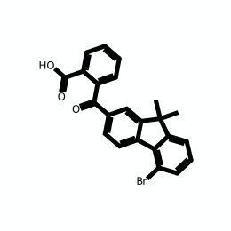 CC1(C)c2cc(C(=O)c3ccccc3C(=O)O)ccc2-c2c(Br)cccc21